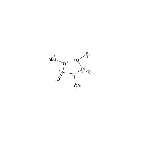 CCCCOC(=O)C(OC(C)=O)[PH](=O)OCC